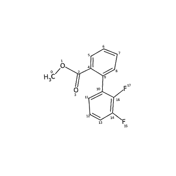 COC(=O)c1ccccc1-c1cccc(F)c1F